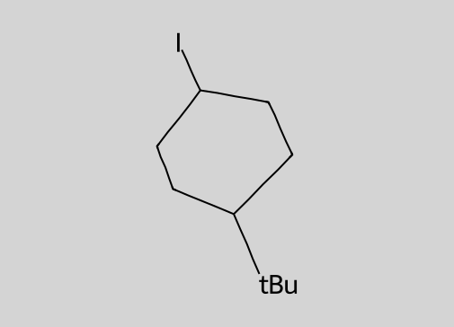 CC(C)(C)C1CCC(I)CC1